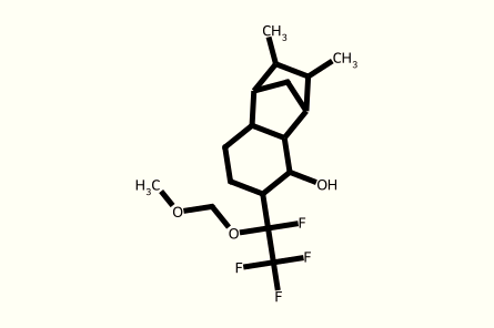 COCOC(F)(C1CCC2C3CC(C(C)C3C)C2C1O)C(F)(F)F